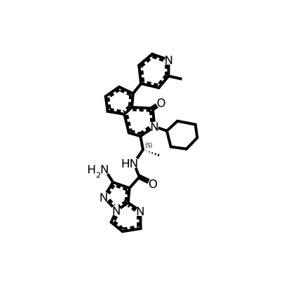 Cc1cc(-c2cccc3cc([C@H](C)NC(=O)c4c(N)nn5cccnc45)n(C4CCCCC4)c(=O)c23)ccn1